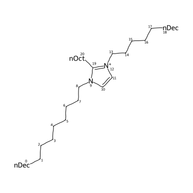 CCCCCCCCCCCCCCCCCCn1cc[n+](CCCCCCCCCCCCCCC)c1CCCCCCCC